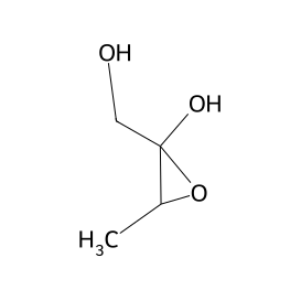 CC1OC1(O)CO